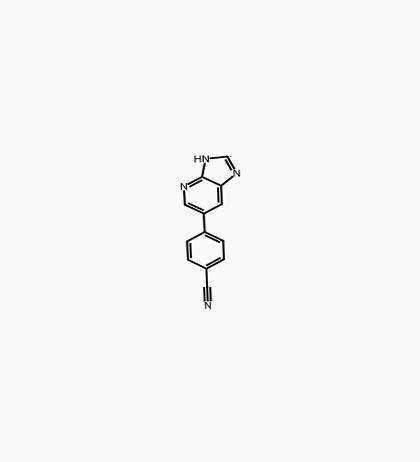 N#Cc1ccc(-c2cnc3[nH][c]nc3c2)cc1